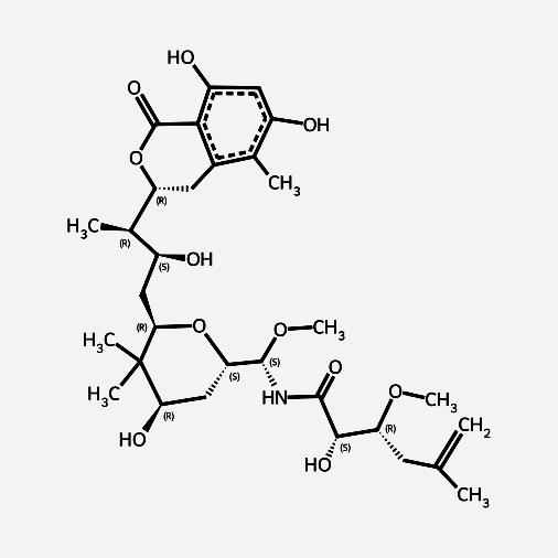 C=C(C)C[C@@H](OC)[C@H](O)C(=O)N[C@@H](OC)[C@@H]1C[C@@H](O)C(C)(C)[C@@H](C[C@H](O)[C@@H](C)[C@H]2Cc3c(C)c(O)cc(O)c3C(=O)O2)O1